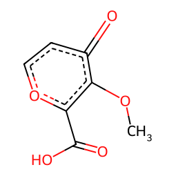 COc1c(C(=O)O)occc1=O